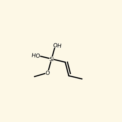 CC=C[Si](O)(O)OC